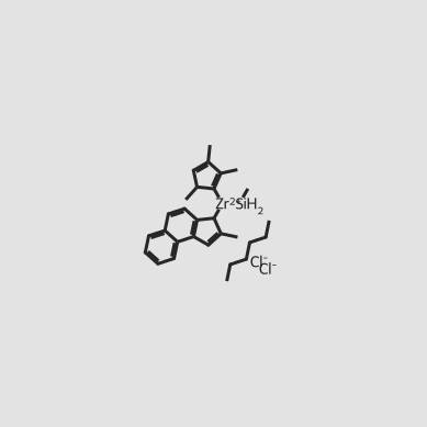 CCCCCC.C[SiH2][Zr+2]([C]1=C(C)C(C)=CC1C)[CH]1C(C)=Cc2c1ccc1ccccc21.[Cl-].[Cl-]